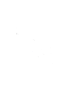 COC(=O)Nc1ccnc(/C=C2/C(=O)N3C2CC(C)(C)[C@@H]3C(=O)O)c1